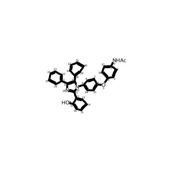 CC(=O)Nc1ccc(Oc2ccc(-n3c(-c4ccccc4O)nc(-c4ccccc4)c3-c3ccccc3)cc2)cc1